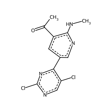 CNc1ncc(-c2nc(Cl)ncc2Cl)cc1C(C)=O